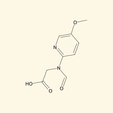 COc1ccc(N(C=O)CC(=O)O)nc1